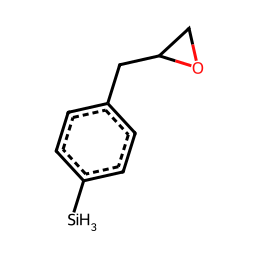 [SiH3]c1ccc(CC2CO2)cc1